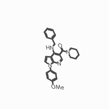 COc1ccc(-n2ccc3c(NCc4ccccc4)c(C(=O)N4CCCCC4)cnc32)cc1